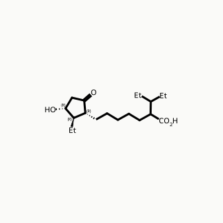 CCC(CC)C(CCCCC[C@H]1C(=O)C[C@@H](O)[C@@H]1CC)C(=O)O